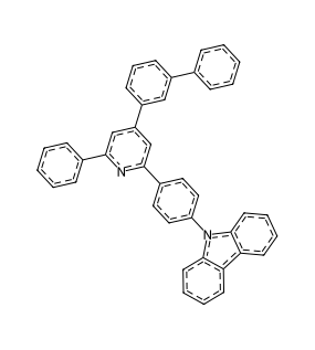 c1ccc(-c2cccc(-c3cc(-c4ccccc4)nc(-c4ccc(-n5c6ccccc6c6ccccc65)cc4)c3)c2)cc1